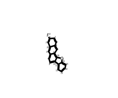 Fc1ccc2cc3c(ccc4c5ccccc5oc34)cc2c1